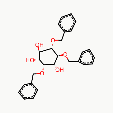 O[C@@H]1[C@@H](O)[C@H](OCc2ccccc2)[C@@H](OCc2ccccc2)[C@H](O)[C@@H]1OCc1ccccc1